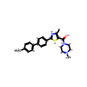 COc1ccc(-c2ccc(-c3nc(C)c(C(=O)N4CCN(C(C)C)CC4)s3)cc2)cc1